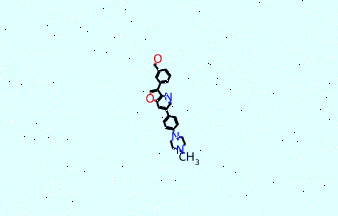 CN1CCN(c2ccc(-c3cnc4c(-c5cccc(C=O)c5)coc4c3)cc2)CC1